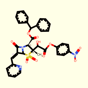 C[C@]1(C(O)C(=O)Oc2ccc([N+](=O)[O-])cc2)[C@H](C(=O)OC(c2ccccc2)c2ccccc2)N2C(=O)/C(=C/c3ccccn3)C2S1(=O)=O